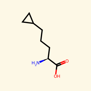 N[C@@H](CCCC1CC1)C(=O)O